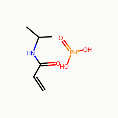 C=CC(=O)NC(C)C.O=[PH](O)O